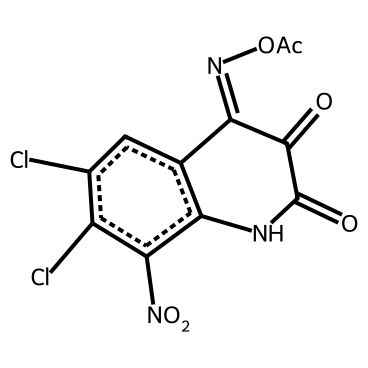 CC(=O)ON=C1C(=O)C(=O)Nc2c1cc(Cl)c(Cl)c2[N+](=O)[O-]